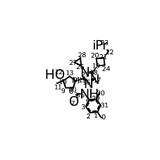 Cc1ccc(NC(=O)[C@@H]2CC(C)(O)C[C@H]2c2nnc([C@H]3C[C@@H](CC(C)C)C3)n2C2CC2)c(C)c1